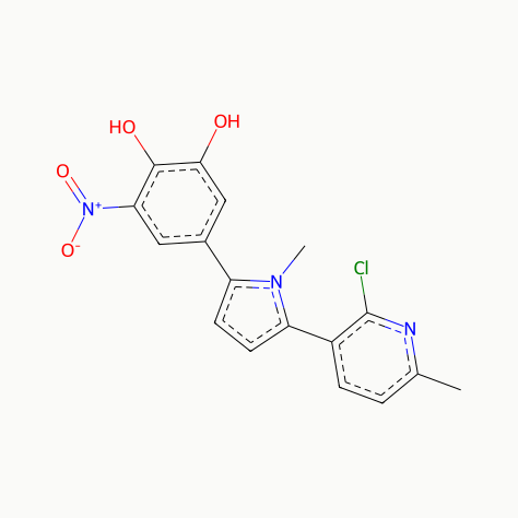 Cc1ccc(-c2ccc(-c3cc(O)c(O)c([N+](=O)[O-])c3)n2C)c(Cl)n1